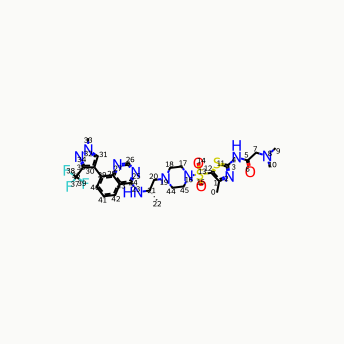 Cc1nc(NC(=O)CN(C)C)sc1S(=O)(=O)N1CCN(C[C@H](C)Nc2ncnc3c(-c4cn(C)nc4C(F)(F)F)cccc23)CC1